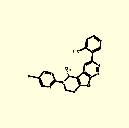 Cc1ccccc1-c1cc2c3c([nH]c2nn1)CCN(c1ncc(Br)cn1)[C@@H]3C